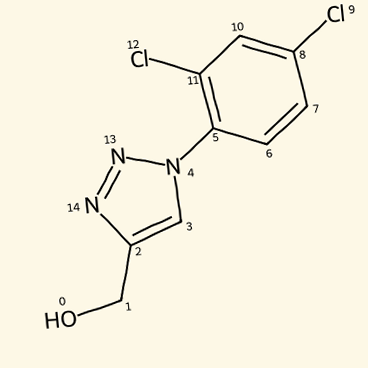 OCc1cn(-c2ccc(Cl)cc2Cl)nn1